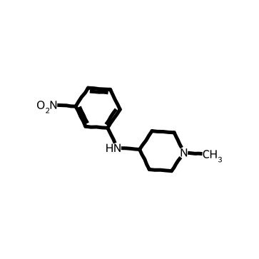 CN1CCC(Nc2cccc([N+](=O)[O-])c2)CC1